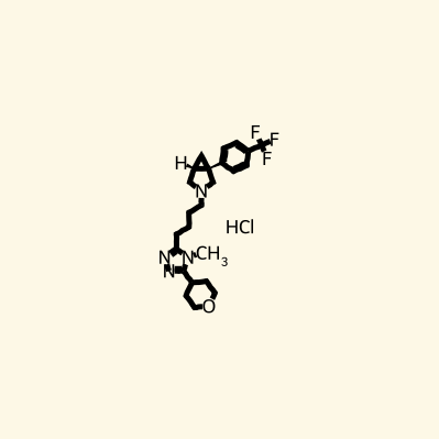 Cl.Cn1c(CCCCN2C[C@@H]3C[C@]3(c3ccc(C(F)(F)F)cc3)C2)nnc1C1CCOCC1